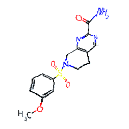 COc1cccc(S(=O)(=O)N2CCc3[c]nc(C(N)=O)nc3C2)c1